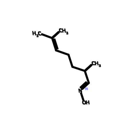 CC(C)=CCCC(C)/C=N/O